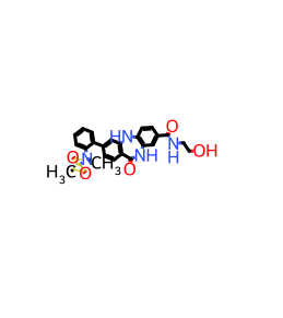 CN(c1ccccc1-c1ccc2c(c1)Nc1ccc(C(=O)NCCO)cc1NC2=O)S(C)(=O)=O